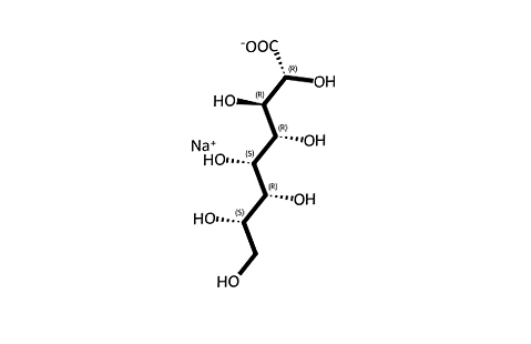 O=C([O-])[C@H](O)[C@H](O)[C@H](O)[C@@H](O)[C@H](O)[C@@H](O)CO.[Na+]